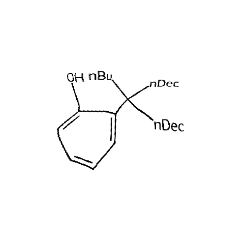 CCCCCCCCCCC(CCCC)(CCCCCCCCCC)c1ccccc1O